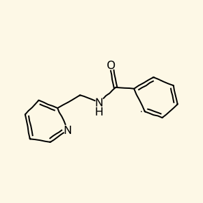 O=C(NCc1ccccn1)c1[c]cccc1